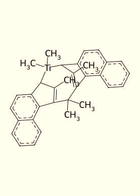 CC1=C2c3c(ccc4ccccc34)[CH]1[Ti]([CH3])([CH3])[CH]1C(C)=C(c3c1ccc1ccccc31)C2(C)C